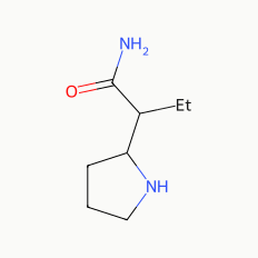 CCC(C(N)=O)C1CCCN1